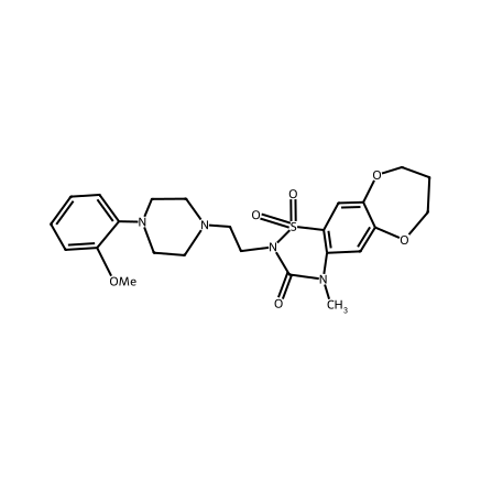 COc1ccccc1N1CCN(CCN2C(=O)N(C)c3cc4c(cc3S2(=O)=O)OCCCO4)CC1